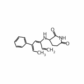 C=C/C(=C\C(=C/C)c1ccccc1)NC1CCC(=O)NC1=O